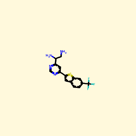 NCC(N)c1cc(-c2cc3ccc(C(F)(F)F)cc3s2)ncn1